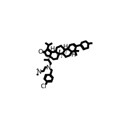 CC1CC=C(C2=CC[C@]3(C)[C@H]4CC[C@@H]5C6=C(C(C)C)C(=O)C[C@]6(C(C)CN(CCN(C)C)Cc6ccc(Cl)cc6)CC[C@@]5(C)[C@]4(C)CC[C@H]3C2(C)C)CC1